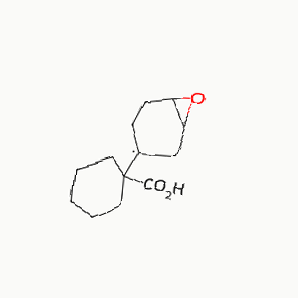 O=C(O)C1([C]2CCC3OC3C2)CCCCC1